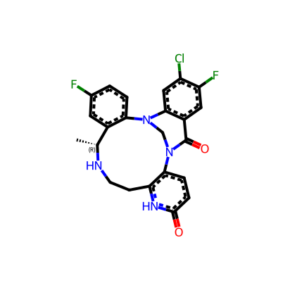 C[C@H]1NCCc2[nH]c(=O)ccc2N2CN(c3cc(Cl)c(F)cc3C2=O)c2ccc(F)cc21